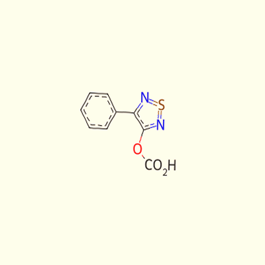 O=C(O)Oc1nsnc1-c1ccccc1